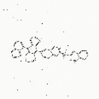 C[Si](C)(c1ccc2ccccc2c1)c1ccc2cc(-c3c4ccccc4c(-c4cccc5ccccc45)c4ccccc34)ccc2c1